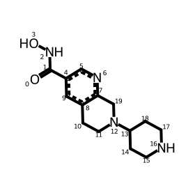 O=C(NO)c1cnc2c(c1)CCN(C1CCNCC1)C2